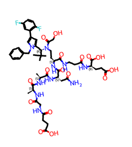 C[C@H](NC(=O)CNC(=O)CCC(=O)O)C(=O)N[C@@H](C)C(=O)N[C@@H](CC(N)=O)C(=O)N[C@@H](CCN(C(=O)CO)[C@@H](c1cc(-c2cc(F)ccc2F)cn1Cc1ccccc1)C(C)(C)C)C(=O)NCCC(=O)N[C@H](CCC(=O)O)C(=O)O